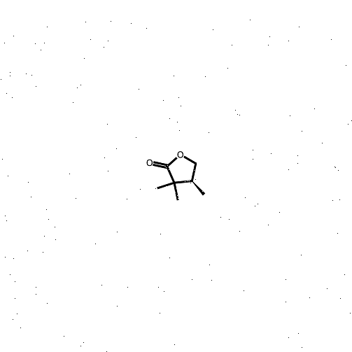 C[C@@H]1COC(=O)C1(C)C